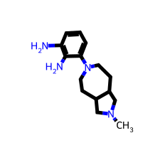 CN1CC2CCN(c3cccc(N)c3N)CCC2C1